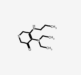 CCCNC1=C(N(CC)CC)C(=O)CSC1